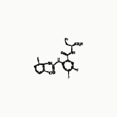 Cc1cccc(Cl)c1NC(=O)Nc1cc(F)c(F)cc1C(=O)N[C@@H](CC(C)C)C(=O)O